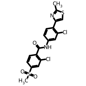 Cc1nc(-c2ccc(NC(=O)c3ccc(S(C)(=O)=O)cc3Cl)cc2Cl)cs1